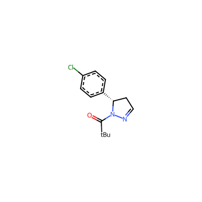 CC(C)(C)C(=O)N1N=CC[C@H]1c1ccc(Cl)cc1